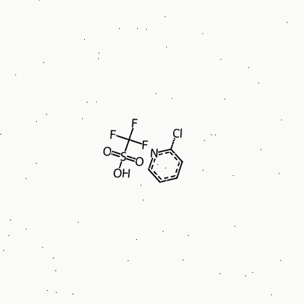 Clc1ccccn1.O=S(=O)(O)C(F)(F)F